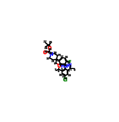 Cc1n[nH]c2c(C(C)OCC3(c4ccc(F)cc4)CCN(C(=O)OC(C)(C)C)CC3)cc(Cl)cc12